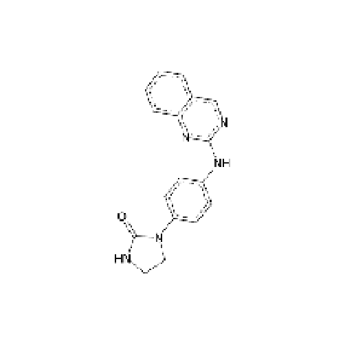 O=C1NCCN1c1ccc(Nc2ncc3ccccc3n2)cc1